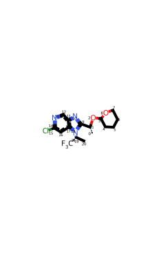 C[C@@H](OC1CCCCO1)c1nc2cnc(Cl)cc2n1[C@H](C)C(F)(F)F